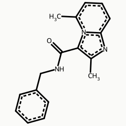 Cc1nc2cccc(C)n2c1C(=O)NCc1ccccc1